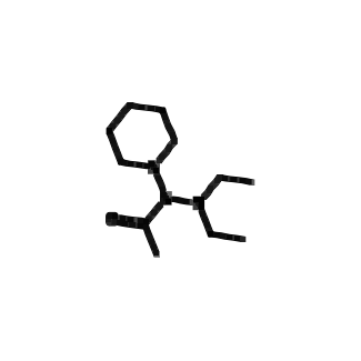 CCN(CC)N(C(C)=O)N1CCCCC1